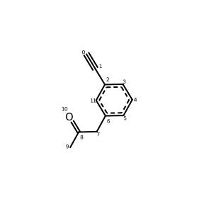 C#Cc1cccc(CC(C)=O)c1